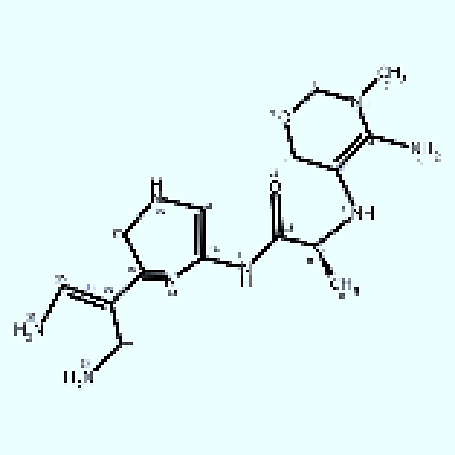 C[C@H](NC1=C(N)N(C)COC1)C(=O)NC1=CNCC(/C(=C/N)CN)=N1